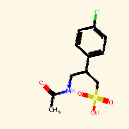 CC(=O)NCC(CS(=O)(=O)O)c1ccc(Cl)cc1